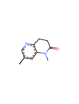 Cc1cnc2c(c1)N(C)C(=O)CC2